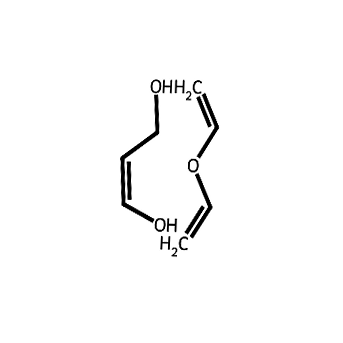 C=COC=C.O/C=C\CO